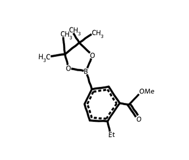 CCc1ccc(B2OC(C)(C)C(C)(C)O2)cc1C(=O)OC